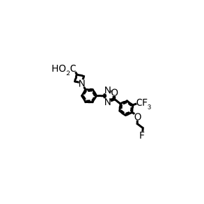 O=C(O)C1CN(c2cccc(-c3noc(-c4ccc(OCCF)c(C(F)(F)F)c4)n3)c2)C1